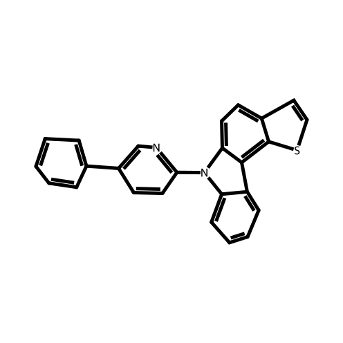 c1ccc(-c2ccc(-n3c4ccccc4c4c5sccc5ccc43)nc2)cc1